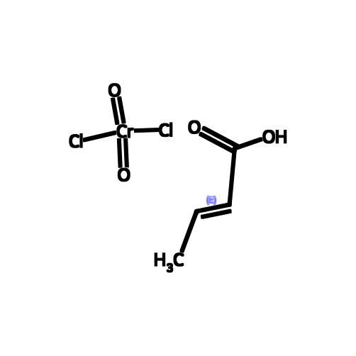 C/C=C/C(=O)O.[O]=[Cr](=[O])([Cl])[Cl]